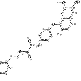 COc1cc2c(Oc3ccc(NC(=O)C(=O)NCCc4ccccc4)cc3F)ccnc2cc1O